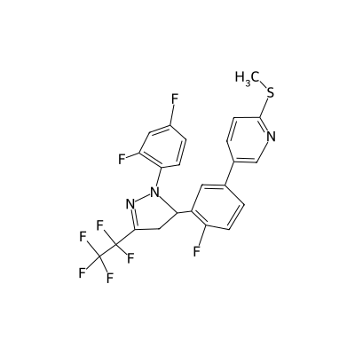 CSc1ccc(-c2ccc(F)c(C3CC(C(F)(F)C(F)(F)F)=NN3c3ccc(F)cc3F)c2)cn1